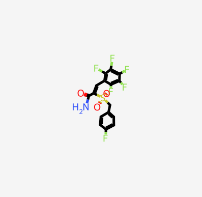 NC(=O)/C(=C/c1c(F)c(F)c(F)c(F)c1F)S(=O)(=O)Cc1ccc(F)cc1